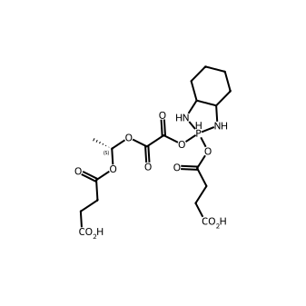 C[C@@H](OC(=O)CCC(=O)O)OC(=O)C(=O)O[PH]1(OC(=O)CCC(=O)O)NC2CCCCC2N1